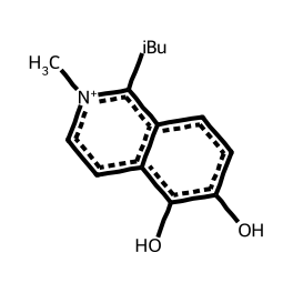 CCC(C)c1c2ccc(O)c(O)c2cc[n+]1C